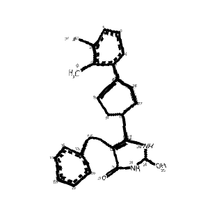 Cc1c(F)cccc1C1=CCC(C2=C(Cc3ccccc3)C(=O)NC(O)N2)CC1